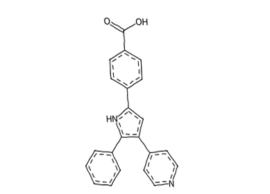 O=C(O)c1ccc(-c2cc(-c3ccncc3)c(-c3ccccc3)[nH]2)cc1